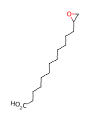 O=C(O)CCCCCCCCCCCC1CO1